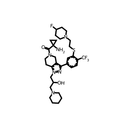 NC1(C(=O)N2CCc3c(c(-c4ccc(C(F)(F)F)c(SCCN5CCC(F)CC5)c4)nn3CC(O)CN3CCCCC3)C2)CC1